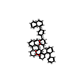 C1=CCCC(c2c(-c3ccccc3)cccc2N(c2ccc(-c3ccc(-c4cccc5ccccc45)cc3)cc2)c2ccccc2-c2cccc3cccc(C4CCCCC4)c23)=C1